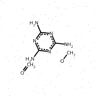 C=O.C[O].Nc1nc(N)nc(N)n1